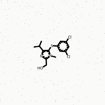 CC(C)c1nc(CO)n(C)c1Sc1cc(Cl)cc(Cl)c1